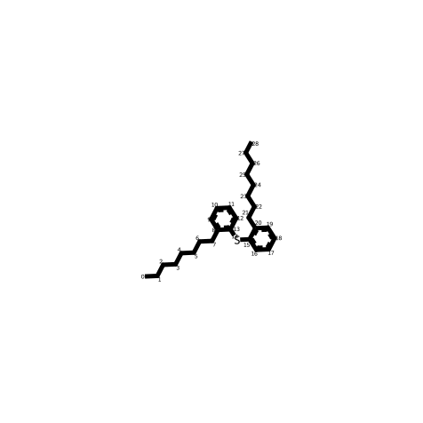 CCCCCCCCc1ccccc1Sc1ccccc1CCCCCCCC